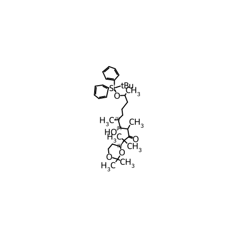 CC(CCC[C@H](C)[C@@H](O)C(C)C(=O)C(C)(C)[C@@H]1CCOC(C)(C)O1)O[Si](c1ccccc1)(c1ccccc1)C(C)(C)C